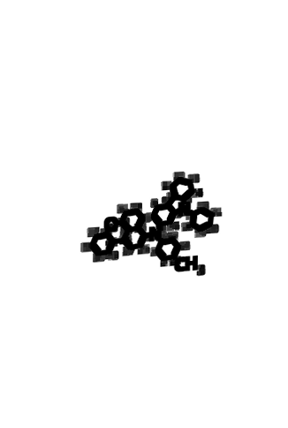 Cc1ccc(N(c2ccc3c4ccccc4n(-c4ccccc4)c3c2)c2ccc3c4c(cccc24)Oc2ccccc2-3)cc1